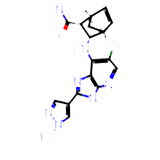 Cn1cc(-c2nc3c(N[C@H]4[C@@H](C(N)=O)[C@@H]5C=C[C@H]4C5)c(Br)cnc3[nH]2)cn1